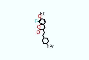 CCCC1CCC(CCC2Cc3ccc(OCC)c(F)c3OC2=O)CC1